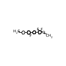 C=CCOc1ccc(-c2ccc(-c3ccc(C4CCC(C=C)CC4)cc3F)cc2)c(F)c1F